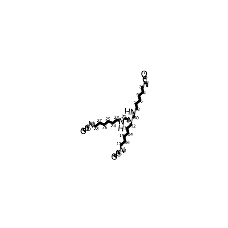 O=C=NCCCCCCNCN(CCCCCCN=C=O)CNCCCCCCN=C=O